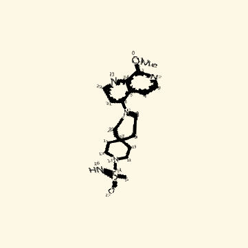 COc1nccc2c(N3CCC4(CCN(S(C)(=N)=O)CC4)C3)ccnc12